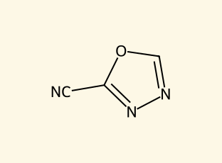 N#Cc1nnco1